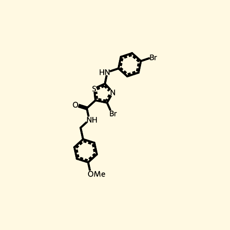 COc1ccc(CNC(=O)c2sc(Nc3ccc(Br)cc3)nc2Br)cc1